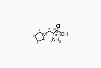 N[C@H](CN1CCCC1)[C@H](O)Cl